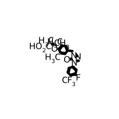 Cc1cc(Cn2ncn(-c3ccc(C(F)(F)F)c(F)c3)c2=O)cc(C)c1OC(C)(C)C(=O)O